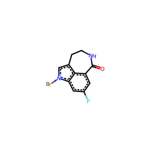 O=C1NCCc2cn(Br)c3cc(F)cc1c23